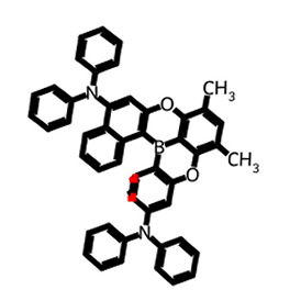 Cc1cc(C)c2c3c1Oc1cc(N(c4ccccc4)c4ccccc4)c4ccccc4c1B3c1c(cc(N(c3ccccc3)c3ccccc3)c3ccccc13)O2